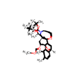 COCO[C@@H]1C[C@@]23CN(C(=O)OC(C)(C)C)CCO[C@@]2(CC=C3[C@@H](C)O[Si](C)(C)C(C)(C)C)C2=C[C@@H]3O[C@@]21c1c3ccc(C)c1C